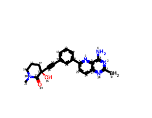 Bc1nc(N)c2nc(-c3cccc(C#C[C@@]4(O)CCCN(C)C4=O)c3)ccc2n1